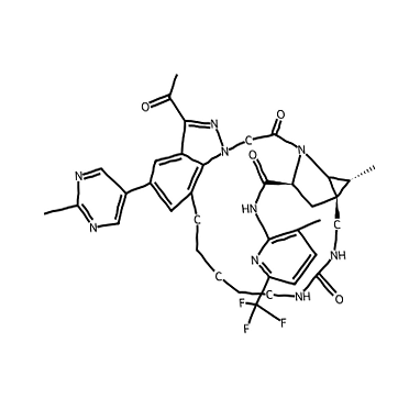 CC(=O)c1nn2c3c(cc(-c4cnc(C)nc4)cc13)CCCCCNC(=O)NC[C@@]13C[C@@H](C(=O)Nc4nc(C(F)(F)F)ccc4C)N(C(=O)C2)C1[C@@H]3C